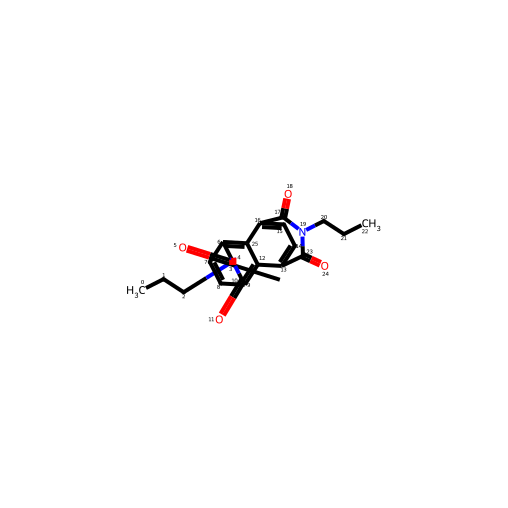 CCCn1c(=O)c2ccc(c1=O)c1c3ccc(c(=O)n(CCC)c3=O)c21